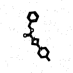 CC1CCN(C2CN(C(=O)OCc3ccccc3)C2)CC1